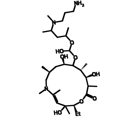 CC[C@@H]1OC(=O)C(C)[C@H](O)[C@@H](C)C(OC(O)OC(C)CC(C)N(C)CCCN)[C@H](O)C[C@H](C)CN(C)/C(C)=C/C1(C)O